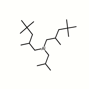 CC(C)[CH2][Al]([CH2]C(C)CC(C)(C)C)[CH2]C(C)CC(C)(C)C